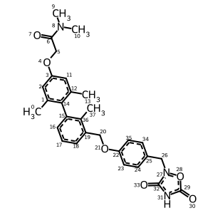 Cc1cc(OCC(=O)N(C)C)cc(C)c1-c1cccc(COc2ccc(Cn3oc(=O)[nH]c3=O)cc2)c1C